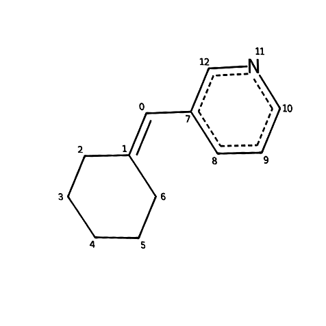 C(=C1CCCCC1)c1cccnc1